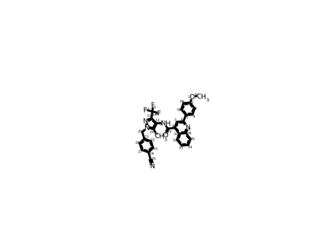 COc1ccc(-c2cc(C(=O)Nc3c(C(F)(F)F)nn(Cc4ccc(C#N)cc4)c3C)c3ccccc3n2)cc1